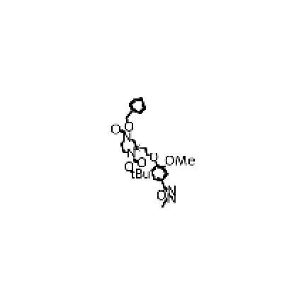 COc1cc(-c2nnc(C)o2)ccc1OCC[C@@H]1CN(C(=O)OCc2ccccc2)CCN1C(=O)OC(C)(C)C